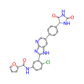 O=C1NC(=O)C(c2ccc(-c3cnc4nc(-c5cc(NC(=O)c6ccco6)ccc5Cl)[nH]c4c3)cc2)N1